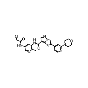 Cc1ncc(NC(=O)CCl)cc1NC(=O)c1cnn2cc(-c3ccnc(N4CCOCC4)c3)sc12